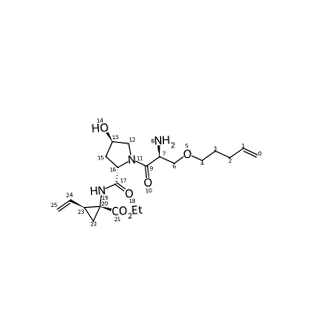 C=CCCCOC[C@H](N)C(=O)N1C[C@H](O)C[C@H]1C(=O)N[C@]1(C(=O)OCC)C[C@H]1C=C